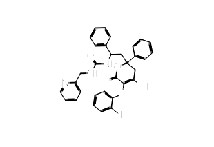 CC(C)c1ccccc1SC1=C(O)CC(CC(NC(=O)NCc2ccccn2)c2ccccc2)(c2ccccc2)OC1=O